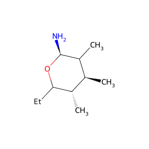 CCC1O[C@@H](N)C(C)[C@@H](C)[C@@H]1C